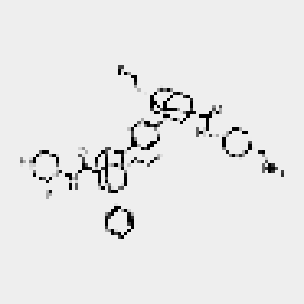 CCC[C@]12CC3(C(=O)N[C@@H]4CCNC[C@H]4F)CC(C[C@](c4ccccc4)(C3)C1)C2c1ccc([C@]23CC4CC(C(=O)N[C@H]5CC[C@H](CN)CC5)(C[C@](CCF)(C4)C2)C3)cc1